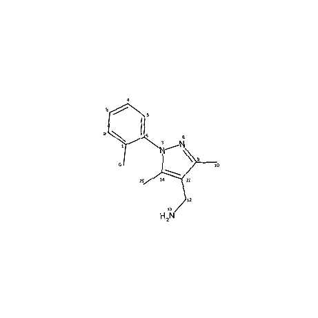 Cc1ccccc1-n1nc(C)c(CN)c1C